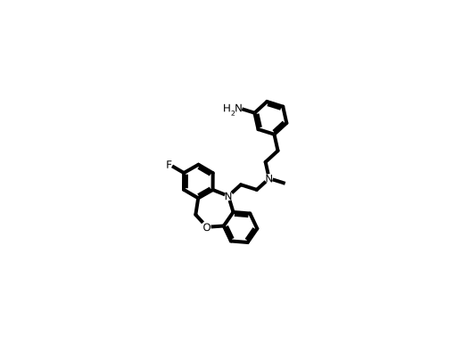 CN(CCc1cccc(N)c1)CCN1c2ccc(F)cc2COc2ccccc21